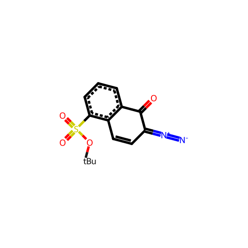 CC(C)(C)OS(=O)(=O)c1cccc2c1C=CC(=[N+]=[N-])C2=O